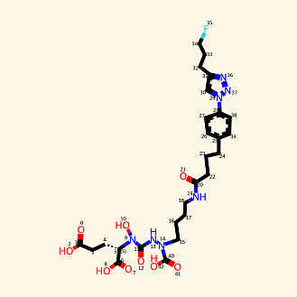 O=C(O)CC[C@@H](C(=O)O)N(O)C(=O)NN(CCCCNC(=O)CCCc1ccc(-n2cc(CCCF)nn2)cc1)C(=O)O